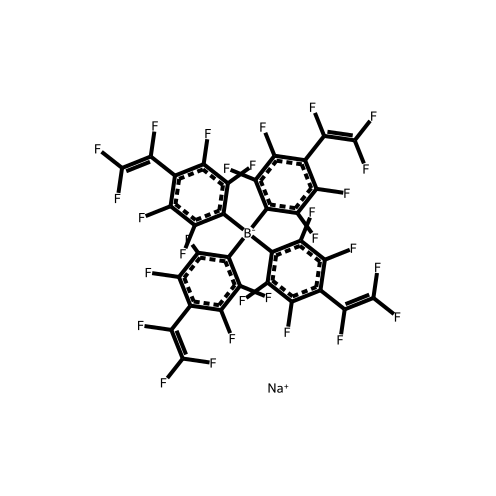 FC(F)=C(F)c1c(F)c(F)c([B-](c2c(F)c(F)c(C(F)=C(F)F)c(F)c2F)(c2c(F)c(F)c(C(F)=C(F)F)c(F)c2F)c2c(F)c(F)c(C(F)=C(F)F)c(F)c2F)c(F)c1F.[Na+]